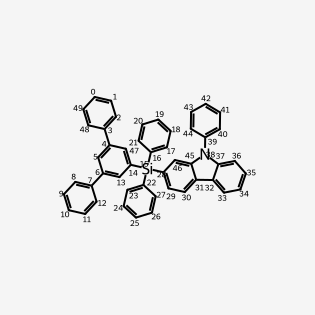 c1ccc(-c2cc(-c3ccccc3)cc([Si](c3ccccc3)(c3ccccc3)c3ccc4c5ccccc5n(-c5ccccc5)c4c3)c2)cc1